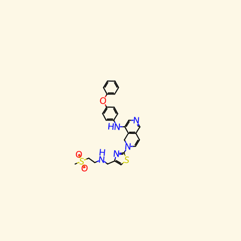 CS(=O)(=O)CCNCc1csc(N2C=Cc3cncc(Nc4ccc(Oc5ccccc5)cc4)c3C2)n1